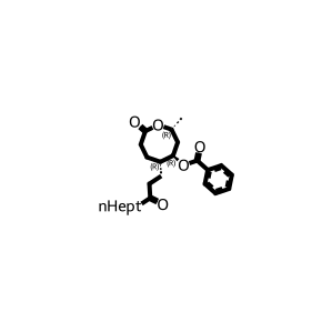 CCCCCCCC(=O)CC[C@@H]1CCC(=O)O[C@H](C)C[C@H]1OC(=O)c1ccccc1